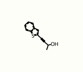 CC(O)C#Cc1cc2ccccc2s1